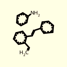 C=Cc1ccccc1C=Cc1ccccc1.Nc1ccccc1